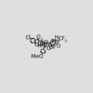 COC1=CCC([C@H](NC(=O)[C@H](C)NC(=O)c2cc(Cl)ccc2Cl)C(=O)N[C@H](C(=O)C(F)(F)C(=O)NCC(F)(F)F)C(C)C)C=C1